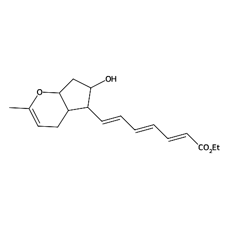 CCOC(=O)C=CC=CC=CC1C(O)CC2OC(C)=CCC21